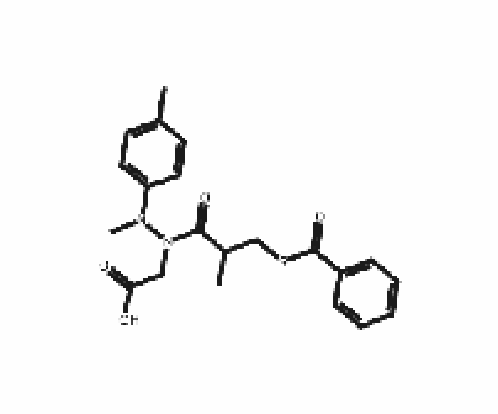 Cc1ccc(N(C)N(CC(=O)O)C(=O)C(C)CSC(=O)c2ccccc2)cc1